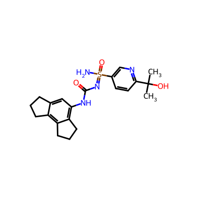 CC(C)(O)c1ccc(S(N)(=O)=NC(=O)Nc2cc3c(c4c2CCC4)CCC3)cn1